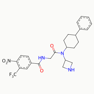 O=C(NCC(=O)N(C1CCC(c2ccccc2)CC1)C1CNC1)c1ccc([N+](=O)[O-])c(C(F)(F)F)c1